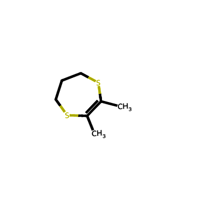 CC1=C(C)SCCCS1